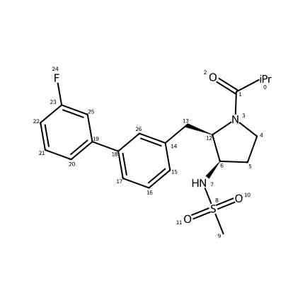 CC(C)C(=O)N1CC[C@@H](NS(C)(=O)=O)[C@H]1Cc1cccc(-c2cccc(F)c2)c1